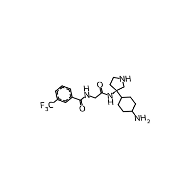 NC1CCC([C@]2(NC(=O)CNC(=O)c3cccc(C(F)(F)F)c3)CCNC2)CC1